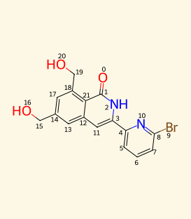 O=c1[nH]c(-c2cccc(Br)n2)cc2cc(CO)cc(CO)c12